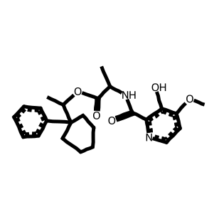 COc1ccnc(C(=O)NC(C)C(=O)OC(C)C2(c3ccccc3)CCCCC2)c1O